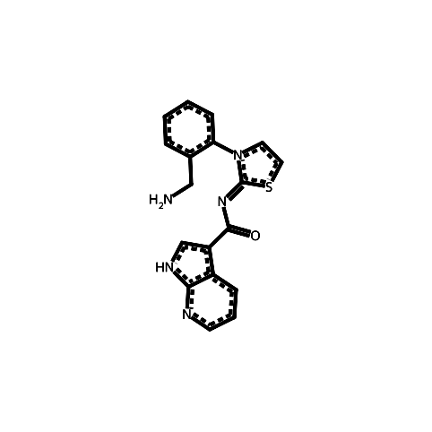 NCc1ccccc1-n1ccs/c1=N\C(=O)c1c[nH]c2ncccc12